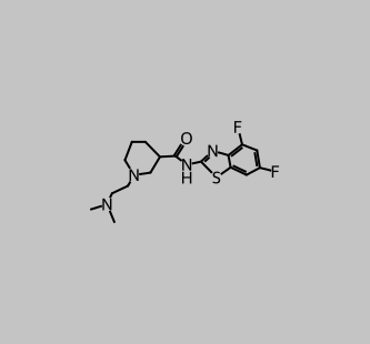 CN(C)CCN1CCCC(C(=O)Nc2nc3c(F)cc(F)cc3s2)C1